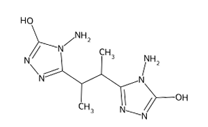 CC(c1nnc(O)n1N)C(C)c1nnc(O)n1N